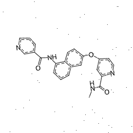 CNC(=O)c1cc(Oc2ccc3c(NC(=O)c4cccnc4)cccc3c2)ccn1